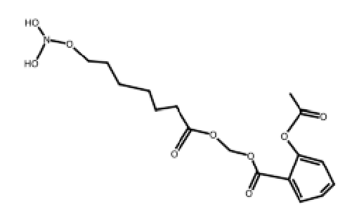 CC(=O)Oc1ccccc1C(=O)OCOC(=O)CCCCCCON(O)O